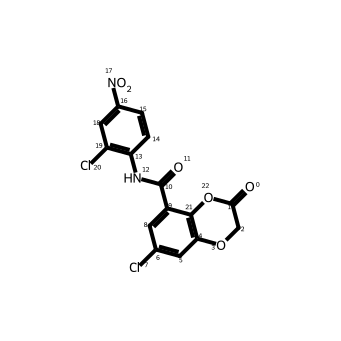 O=C1COc2cc(Cl)cc(C(=O)Nc3ccc([N+](=O)[O-])cc3Cl)c2O1